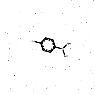 CCCN(CCC)c1ccc([NH])cc1